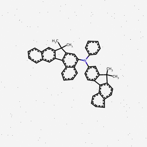 CC1(C)c2cc(N(c3ccccc3)c3cc4c(c5ccccc35)-c3cc5ccccc5cc3C4(C)C)ccc2-c2c1ccc1ccccc21